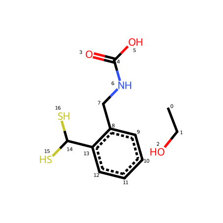 CCO.O=C(O)NCc1ccccc1C(S)S